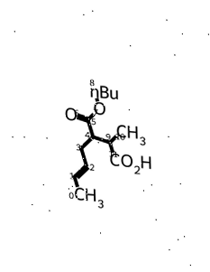 CC=CCC(C(=O)OCCCC)C(C)C(=O)O